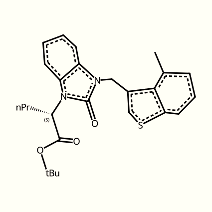 CCC[C@@H](C(=O)OC(C)(C)C)n1c(=O)n(Cc2csc3cccc(C)c23)c2ccccc21